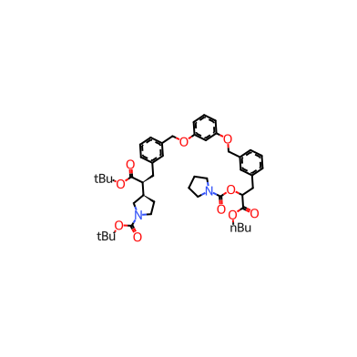 CCCCOC(=O)C(Cc1cccc(COc2cccc(OCc3cccc(C[C@H](C(=O)OC(C)(C)C)[C@H]4CCN(C(=O)OC(C)(C)C)C4)c3)c2)c1)OC(=O)N1CCCC1